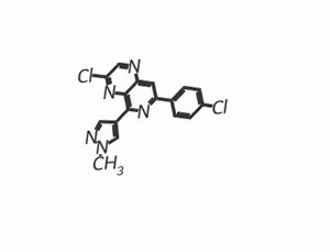 Cn1cc(-c2nc(-c3ccc(Cl)cc3)cc3ncc(Cl)nc23)cn1